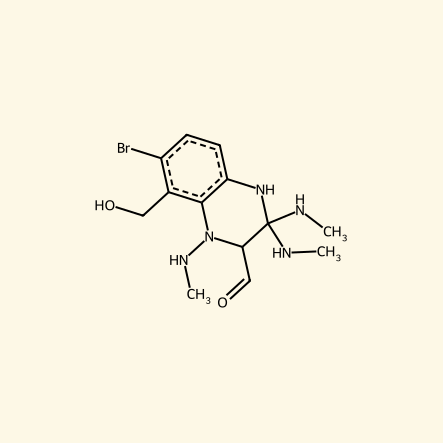 CNN1c2c(ccc(Br)c2CO)NC(NC)(NC)C1C=O